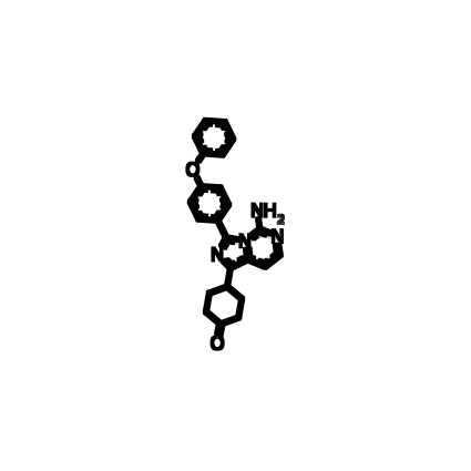 Nc1nccc2c(C3CCC(=O)CC3)nc(-c3ccc(Oc4ccccc4)cc3)n12